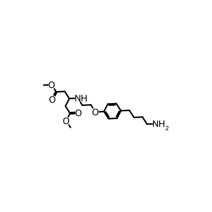 COC(=O)CC(CC(=O)OC)NCCOc1ccc(CCCCN)cc1